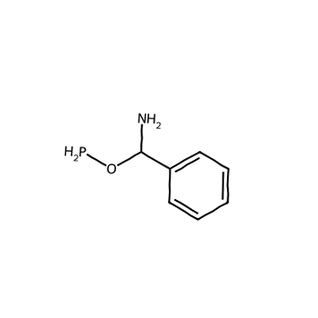 NC(OP)c1ccccc1